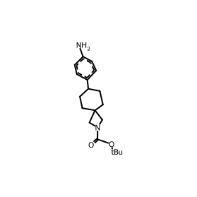 CC(C)(C)OC(=O)N1CC2(CCC(c3ccc(N)cc3)CC2)C1